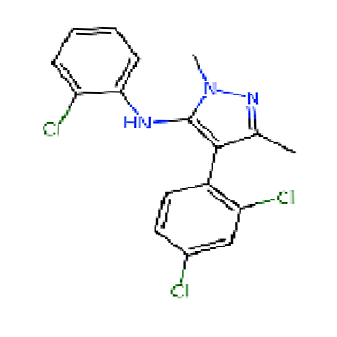 Cc1nn(C)c(Nc2ccccc2Cl)c1-c1ccc(Cl)cc1Cl